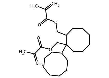 C=C(C)C(=O)OCC1CCCCCCC1(COC(=O)C(=C)C)C1CCCCCCC1